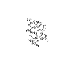 Cc1nc(C(=O)N2C[C@@H]3C[C@@H]3[C@H]2CNC(=O)c2cccc(Cl)c2)c(-c2ccc(C#N)cc2)s1